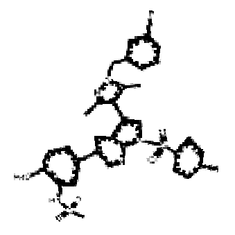 COc1ccc(-c2cnc3c(c2)c(-c2c(C)nn(Cc4cccc(F)c4)c2C)cn3S(=O)(=O)c2ccc(C)cc2)cc1NS(C)(=O)=O